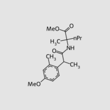 CCCC(C)(NC(=O)C(C)c1ccc(OC)cc1C)C(=O)OC